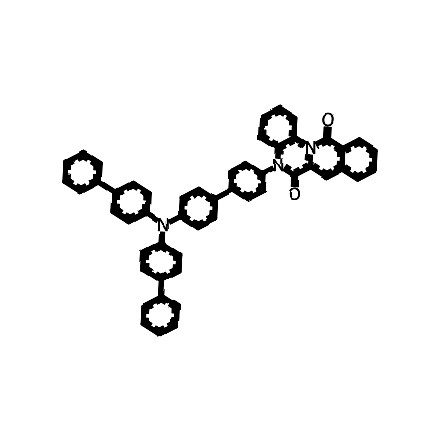 O=c1c2cc3ccccc3c(=O)n2c2ccccc2n1-c1ccc(-c2ccc(N(c3ccc(-c4ccccc4)cc3)c3ccc(-c4ccccc4)cc3)cc2)cc1